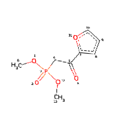 COP(=O)(CC(=O)c1ccco1)OC